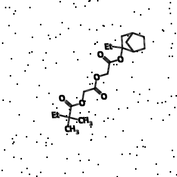 CCC(C)(C)C(=O)OCC(=O)OCC(=O)OC1(CC)CC2CCC1C2